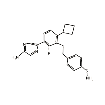 NSc1ccc(CCc2c(C3CCC3)ccc(-c3cnc(N)cn3)c2F)cc1